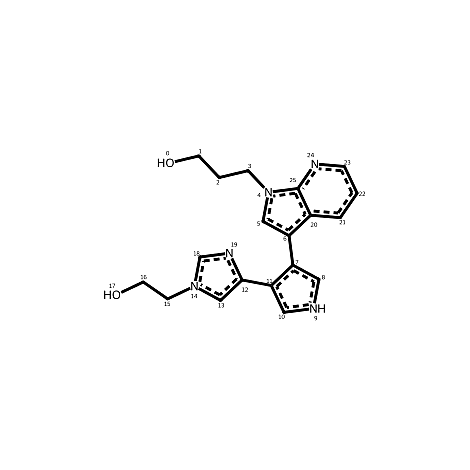 OCCCn1cc(-c2c[nH]cc2-c2cn(CCO)cn2)c2cccnc21